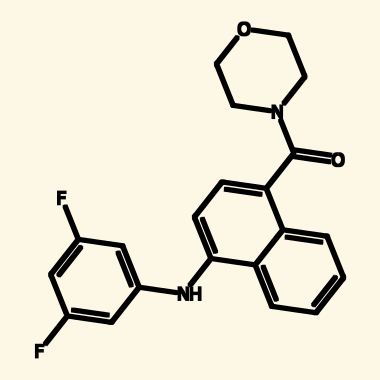 O=C(c1ccc(Nc2cc(F)cc(F)c2)c2ccccc12)N1CCOCC1